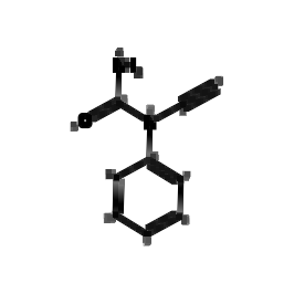 C#CN(C(N)=O)c1ccccc1